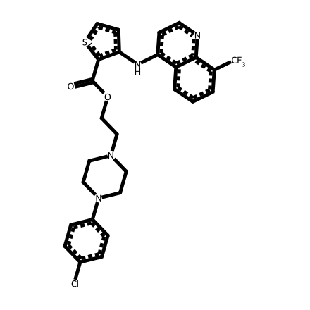 O=C(OCCN1CCN(c2ccc(Cl)cc2)CC1)c1sccc1Nc1ccnc2c(C(F)(F)F)cccc12